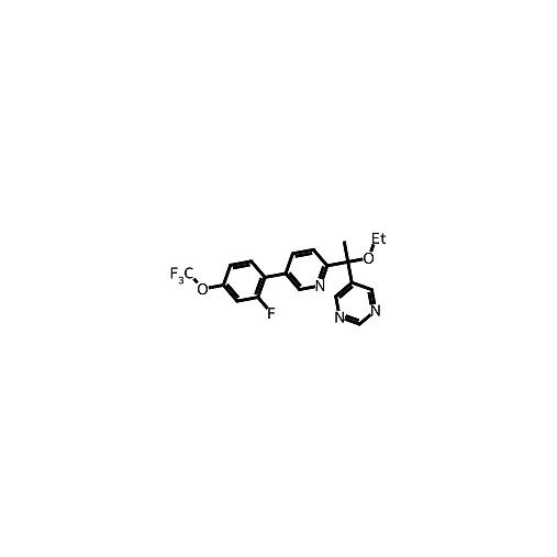 CCOC(C)(c1cncnc1)c1ccc(-c2ccc(OC(F)(F)F)cc2F)cn1